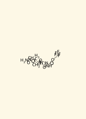 Cc1cc(N(C)C(N)=O)cc(C)c1CCS(=O)(=O)N1CCC2(CC1)N=C(c1cccc(OCCCC(F)(F)C(F)(F)F)c1)NC2=O